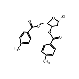 Cc1ccc(C(=O)OC[C@@H]2O[C@H](Cl)C[C@H]2OC(=O)c2ccc(C)cc2)cc1